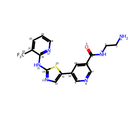 NCCNC(=O)c1cncc(-c2cnc(Nc3ncccc3C(F)(F)F)s2)c1